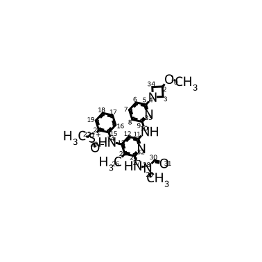 COC1CN(c2cccc(Nc3cc(Nc4ccccc4[S+](C)[O-])c(C)c(NN(C)C=O)n3)n2)C1